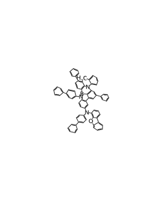 Cc1ccccc1N1c2cc(-c3ccccc3)ccc2B2c3c(cc(-c4ccccc4)cc31)-c1cc(N(c3ccc(-c4ccccc4)cc3)c3cccc4c3oc3ccccc34)ccc1N2c1ccc(-c2ccccc2)cc1